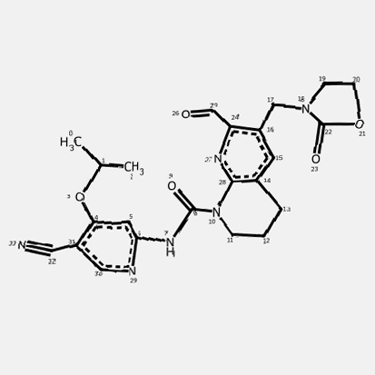 CC(C)Oc1cc(NC(=O)N2CCCc3cc(CN4CCOC4=O)c(C=O)nc32)ncc1C#N